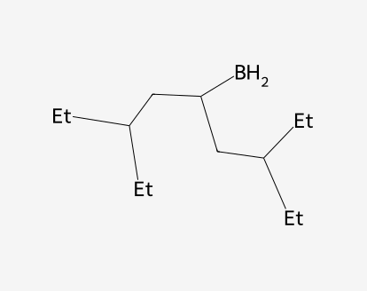 BC(CC(CC)CC)CC(CC)CC